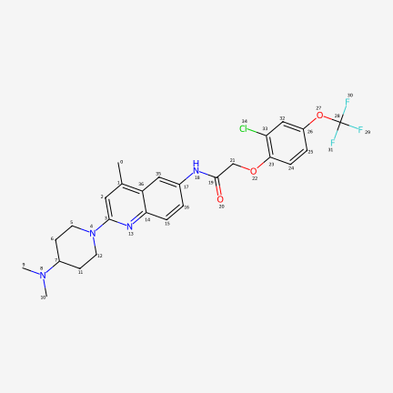 Cc1cc(N2CCC(N(C)C)CC2)nc2ccc(NC(=O)COc3ccc(OC(F)(F)F)cc3Cl)cc12